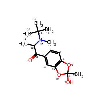 BC1(O)Oc2ccc(C(=O)C(C)N(C)C(B)(B)B)cc2O1